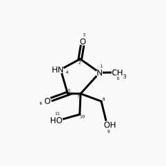 CN1C(=O)NC(=O)C1(CO)CO